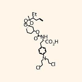 C=CCC(CC)[C@@]1(C)OO[C@@]2(CCCC(OC(=O)N[C@@H](Cc3ccc(N(CCCl)CCCl)cc3)C(=O)O)C2)O1